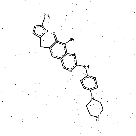 Cc1ccc(Cc2cc3cnc(Nc4ccc(N5CCNCC5)cc4)nc3n(C(C)C)c2=O)o1